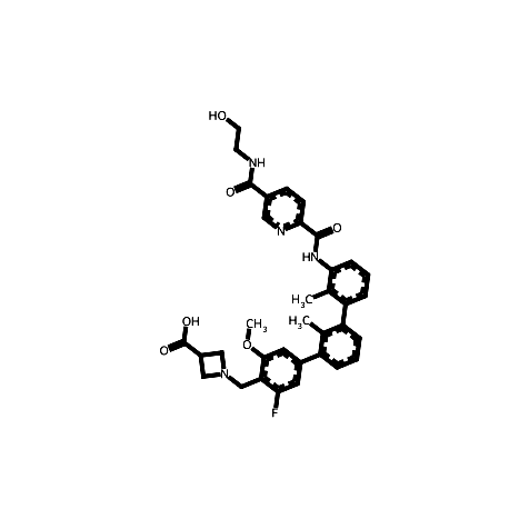 COc1cc(-c2cccc(-c3cccc(NC(=O)c4ccc(C(=O)NCCO)cn4)c3C)c2C)cc(F)c1CN1CC(C(=O)O)C1